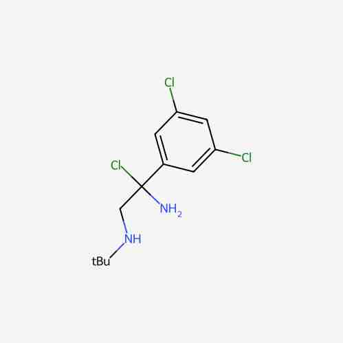 CC(C)(C)NCC(N)(Cl)c1cc(Cl)cc(Cl)c1